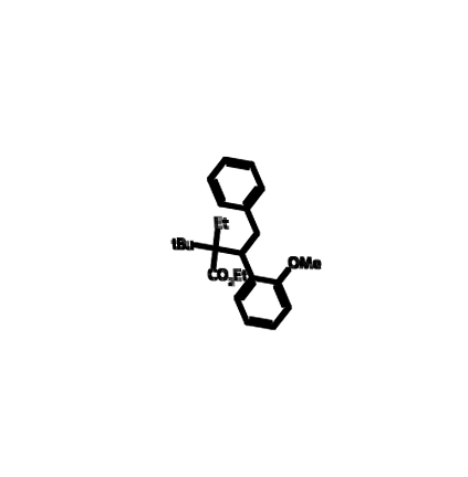 CCOC(=O)C(CC)(C(Cc1ccccc1)c1ccccc1OC)C(C)(C)C